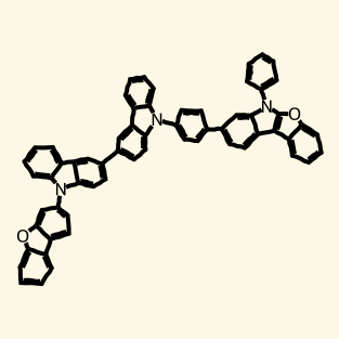 c1ccc(-n2c3cc(-c4ccc(-n5c6ccccc6c6cc(-c7ccc8c(c7)c7ccccc7n8-c7ccc8c(c7)oc7ccccc78)ccc65)cc4)ccc3c3c4ccccc4oc32)cc1